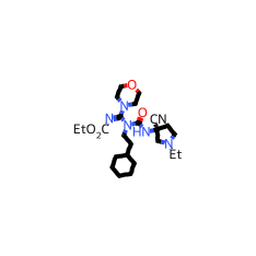 CCOC(=O)N=C(N1CCOCC1)N(CCC1CCCCC1)C(=O)NC1(C#N)CCN(CC)C1